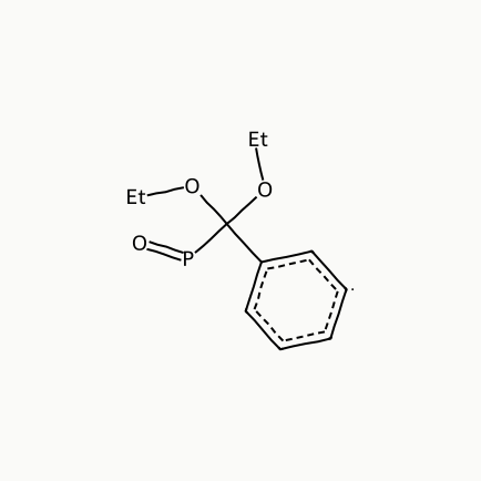 CCOC(OCC)(P=O)c1c[c]ccc1